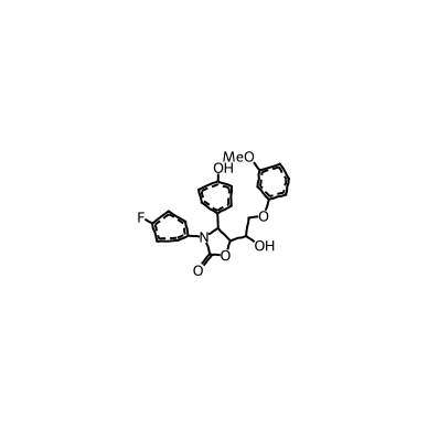 COc1cccc(OCC(O)C2OC(=O)N(c3ccc(F)cc3)C2c2ccc(O)cc2)c1